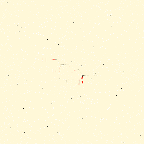 CC(=O)O.CC(=O)OC(=O)COCC(O)CO